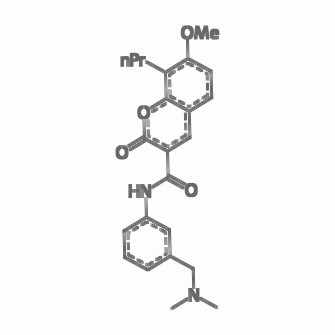 CCCc1c(OC)ccc2cc(C(=O)Nc3cccc(CN(C)C)c3)c(=O)oc12